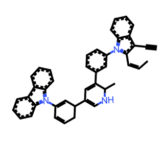 C#Cc1c(/C=C\C)n(-c2cccc(C3=CC(C4C=C(n5c6ccccc6c6ccccc65)C=CC4)=CNC3C)c2)c2ccccc12